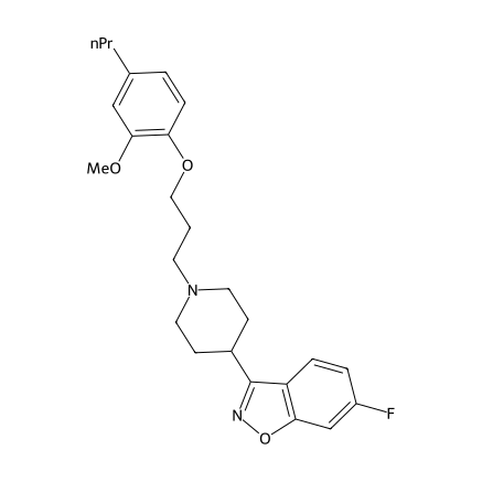 CCCc1ccc(OCCCN2CCC(c3noc4cc(F)ccc34)CC2)c(OC)c1